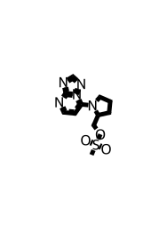 CS(=O)(=O)OCC1CCCN1c1ccnc2ncnn12